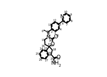 C[C@@H](c1ccc(-c2ccccn2)cc1)N1CCC(CCC(N)=O)(c2ccccc2)OC1=O